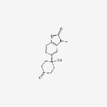 Cn1c(=O)oc2ccc(C3(O)CCC(=O)CC3)cc21